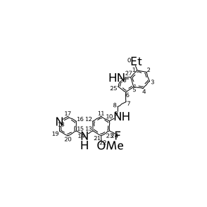 CCc1cccc2c(CCNc3ccc(Nc4ccncc4)c(OC)c3F)c[nH]c12